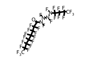 O=C(N(F)N(F)N(F)N(F)C(F)(F)C(F)(F)C(F)(F)C(F)(F)F)C(F)(F)C(F)(F)C(F)(F)C(F)(F)C(F)(F)C(F)(F)C(F)(F)F